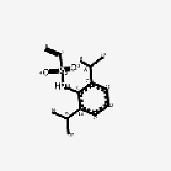 C=CS(=O)(=O)Nc1c(C(C)C)cccc1C(C)C